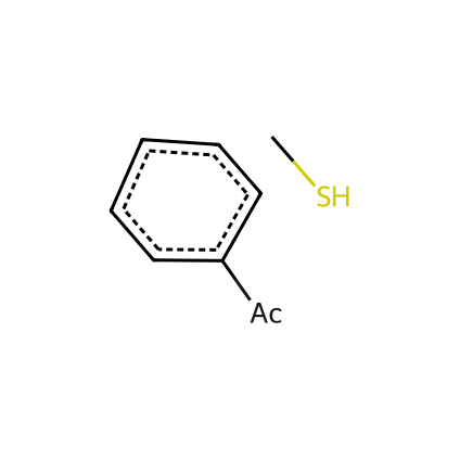 CC(=O)c1ccccc1.CS